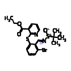 CCOC(=O)c1cccnc1Sc1cccc(Br)c1/C=N/[S+]([O-])C(C)(C)C